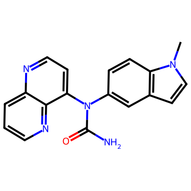 Cn1ccc2cc(N(C(N)=O)c3ccnc4cccnc34)ccc21